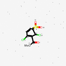 COC(=O)C1=C(Cl)C=CC(=S(=O)=O)C1Cl